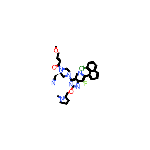 COC/C=C/C(=O)N1CCN(c2nc(OCC3CCCN3C)nc3c(F)c(-c4cccc5cccc(Cl)c45)ncc23)C[C@@H]1CC#N